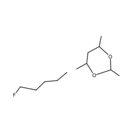 CC1CC(C)OC(C)O1.CCCCCF